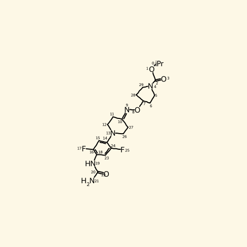 CC(C)OC(=O)N1CCC(ON=C2CCN(c3cc(F)c(NC(N)=O)cc3F)CC2)CC1